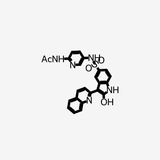 CC(=O)Nc1ccc(NS(=O)(=O)c2ccc3[nH]c(O)c(-c4ccc5ccccc5n4)c3c2)cn1